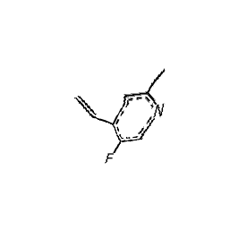 C=Cc1cc(C)ncc1F